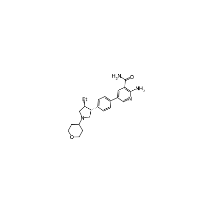 CC[C@@H]1CN(C2CCOCC2)C[C@H]1c1ccc(-c2cnc(N)c(C(N)=O)c2)cc1